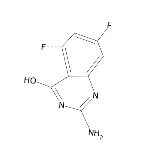 Nc1nc(O)c2c(F)cc(F)cc2n1